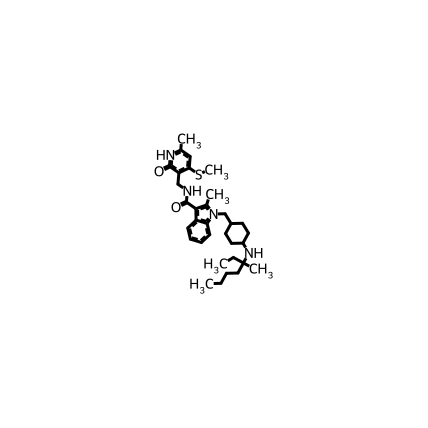 CCCCC(C)(CC)NC1CCC(Cn2c(C)c(C(=O)NCc3c(SC)cc(C)[nH]c3=O)c3ccccc32)CC1